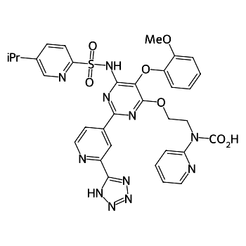 COc1ccccc1Oc1c(NS(=O)(=O)c2ccc(C(C)C)cn2)nc(-c2ccnc(-c3nnn[nH]3)c2)nc1OCCN(C(=O)O)c1ccccn1